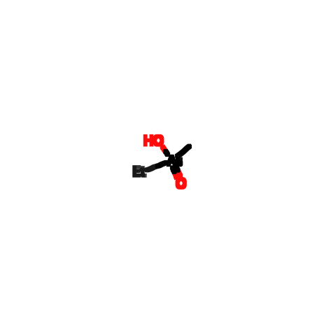 CC[As](C)(=O)O